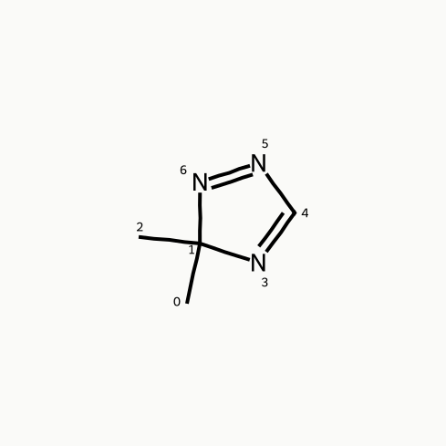 CC1(C)N=CN=N1